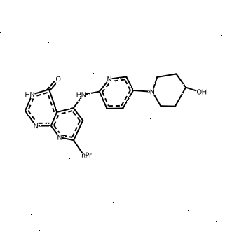 CCCc1cc(Nc2ccc(N3CCC(O)CC3)cn2)c2c(=O)[nH]cnc2n1